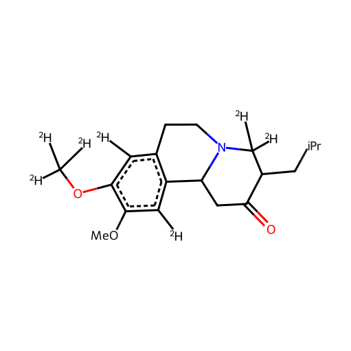 [2H]c1c2c(c([2H])c(OC)c1OC([2H])([2H])[2H])C1CC(=O)C(CC(C)C)C([2H])([2H])N1CC2